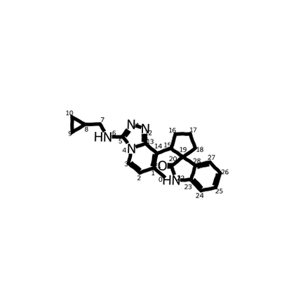 Cc1ccn2c(NCC3CC3)nnc2c1C1CCCC12C(=O)Nc1ccccc12